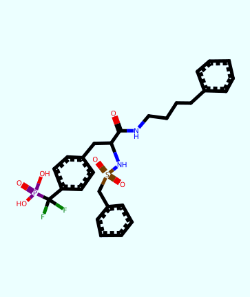 O=C(NCCCCc1ccccc1)C(Cc1ccc(C(F)(F)P(=O)(O)O)cc1)NS(=O)(=O)Cc1ccccc1